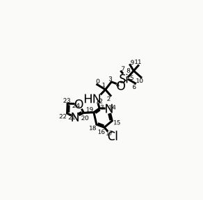 CC(C)(CO[Si](C)(C)C(C)(C)C)Nc1ncc(Cl)cc1-c1ncco1